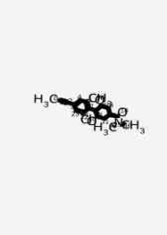 CC#Cc1cc(C)c(C2C(=O)CC(C(=O)N(C)C)CC2=O)c(Cl)c1